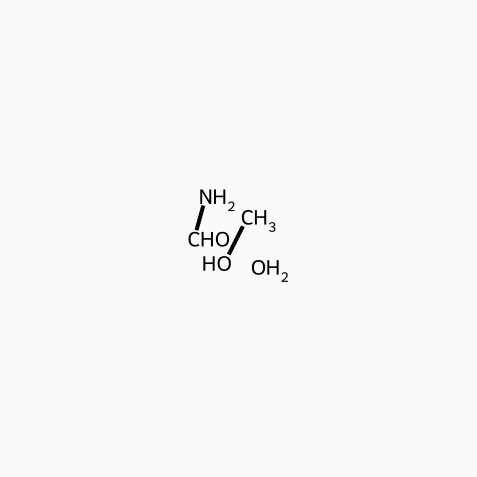 CO.NC=O.O